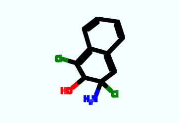 NC1(Cl)C=c2ccccc2=C(Cl)C1O